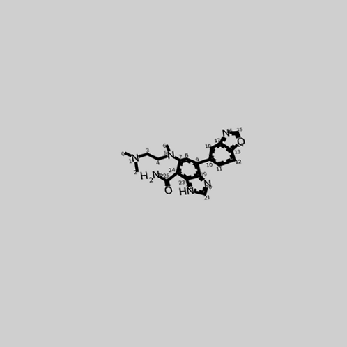 CN(C)CCN(C)c1cc(-c2ccc3ocnc3c2)c2nc[nH]c2c1C(N)=O